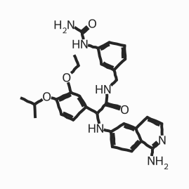 CCOc1cc(C(Nc2ccc3c(N)nccc3c2)C(=O)NCc2cccc(NC(N)=O)c2)ccc1OC(C)C